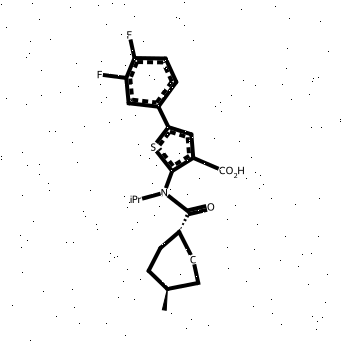 CC(C)N(c1sc(-c2ccc(F)c(F)c2)cc1C(=O)O)C(=O)[C@H]1CC[C@H](C)CC1